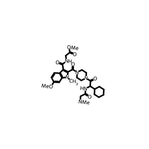 CNCC(=O)NC(C(=O)N1CCN(C(=O)c2c(C(=O)NCC(=O)OC)c3ccc(OC)cc3n2C)CC1)C1CCCCC1